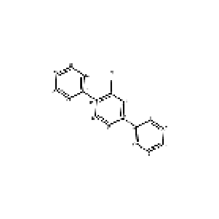 Ic1cc(-c2ccccc2)ccc1-c1ccccc1